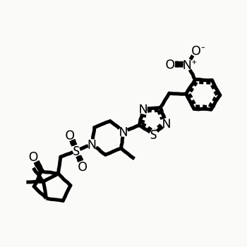 CC1CN(S(=O)(=O)CC23CCC(CC2=O)C3(C)C)CCN1c1nc(Cc2ccccc2[N+](=O)[O-])ns1